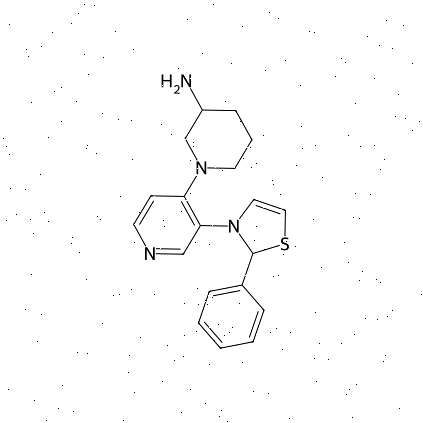 NC1CCCN(c2ccncc2N2C=CSC2c2ccccc2)C1